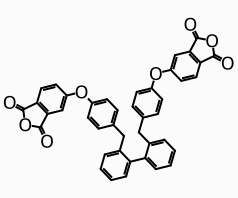 O=C1OC(=O)c2cc(Oc3ccc(Cc4ccccc4-c4ccccc4Cc4ccc(Oc5ccc6c(c5)C(=O)OC6=O)cc4)cc3)ccc21